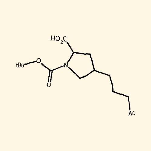 CC(=O)CCCC1CC(C(=O)O)N(C(=O)OC(C)(C)C)C1